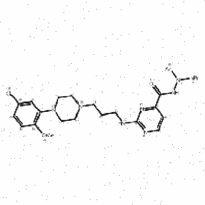 CCCN(NC(=O)c1ccnc(NCCCN2CCN(c3cc(Cl)ccc3OC)CC2)n1)C(C)=O